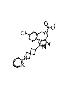 COC(=O)N1Cc2cc(Cl)ccc2-n2c(nnc2C2CC3(C2)CN(c2ccccn2)C3)C1